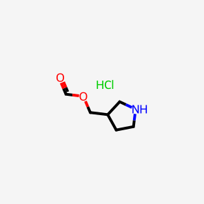 Cl.O=COCC1CCNC1